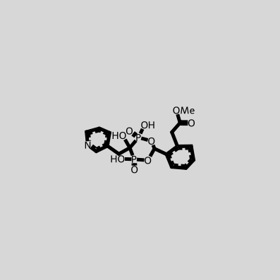 COC(=O)Cc1ccccc1C1OP(=O)(O)C(O)(Cc2cccnc2)P(=O)(O)O1